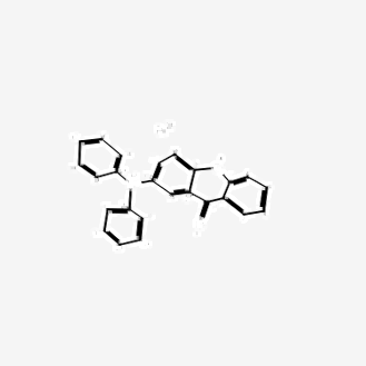 O=c1c2ccccc2oc2ccc([S+](c3ccccc3)c3ccccc3)cc12.[Br-]